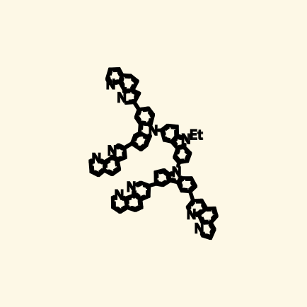 CCn1c2ccc(-n3c4ccc(-c5cnc6c(ccc7cccnc76)c5)cc4c4cc(-c5cnc6c(ccc7cccnc76)c5)ccc43)cc2c2cc(-n3c4ccc(-c5cnc6c(ccc7cccnc76)c5)cc4c4cc(-c5cnc6c(ccc7cccnc76)c5)ccc43)ccc21